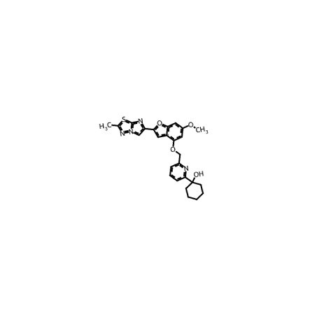 COc1cc(OCc2cccc(C3(O)CCCCC3)n2)c2cc(-c3cn4nc(C)sc4n3)oc2c1